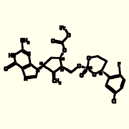 C=C1[C@H](CO[P@]2(=O)OCC[C@H](c3cc(Cl)ccc3F)O2)[C@@H](OC(=O)OC(C)C)C[C@@H]1n1cnc2c(=O)[nH]c(N)nc21